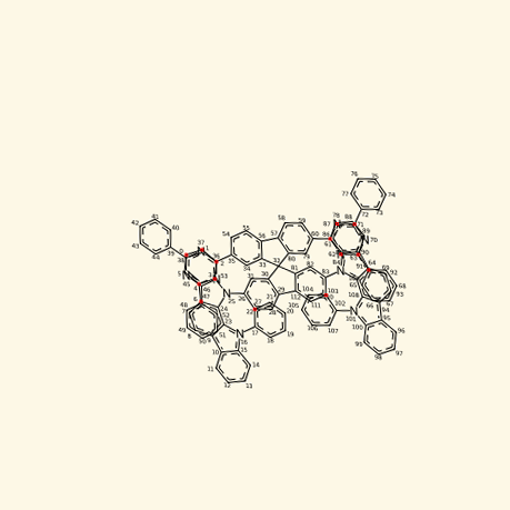 C1=CCC2C(=C1)c1ccc3c4ccccc4n(-c4ccccc4)c3c1N2c1ccc2c(c1)C1(c3cc(-c4nc(-c5ccccc5)nc(-c5ccccc5)n4)ccc3-c3ccc(-c4nc(-c5ccccc5)nc(-c5ccccc5)n4)cc31)c1cc(-n3c4ccccc4c4ccc5c6ccccc6n(-c6ccccc6)c5c43)ccc1-2